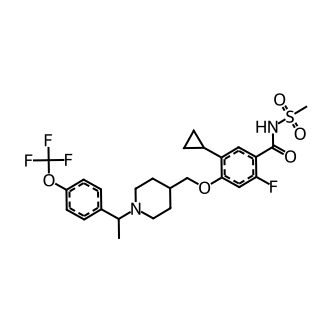 CC(c1ccc(OC(F)(F)F)cc1)N1CCC(COc2cc(F)c(C(=O)NS(C)(=O)=O)cc2C2CC2)CC1